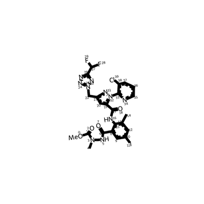 COC(=O)N(C)NC(=O)c1cc(I)cc(C)c1NC(=O)c1cc(Cn2nnc(C(F)F)n2)nn1-c1ncccc1Cl